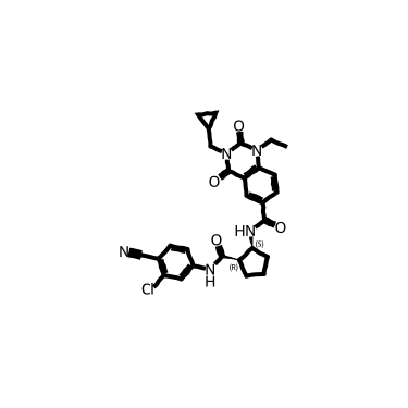 CCn1c(=O)n(CC2CC2)c(=O)c2cc(C(=O)N[C@H]3CCC[C@H]3C(=O)Nc3ccc(C#N)c(Cl)c3)ccc21